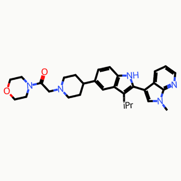 CC(C)c1c(-c2cn(C)c3ncccc23)[nH]c2ccc(C3CCN(CC(=O)N4CCOCC4)CC3)cc12